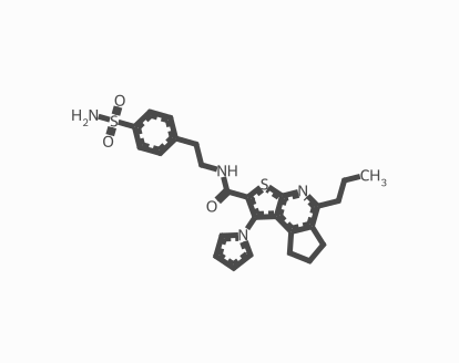 CCCc1nc2sc(C(=O)NCCc3ccc(S(N)(=O)=O)cc3)c(-n3cccc3)c2c2c1CCC2